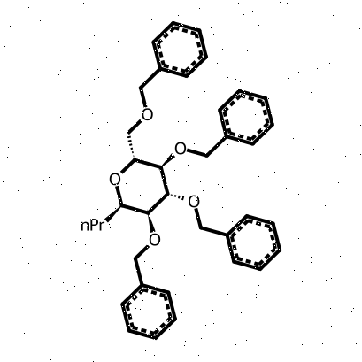 [CH2]CC[C@H]1O[C@H](COCc2ccccc2)[C@@H](OCc2ccccc2)[C@H](OCc2ccccc2)[C@H]1OCc1ccccc1